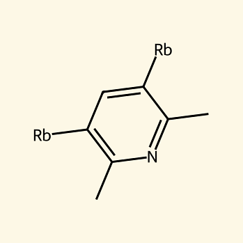 Cc1nc(C)[c]([Rb])c[c]1[Rb]